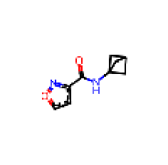 O=C(NC12CC(C1)C2)c1ccon1